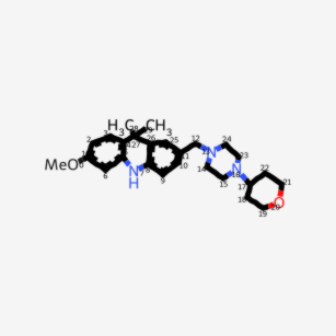 COc1ccc2c(c1)Nc1ccc(CN3CCN(C4CCOCC4)CC3)cc1C2(C)C